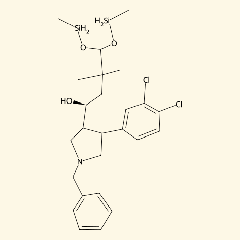 C[SiH2]OC(O[SiH2]C)C(C)(C)C[C@H](O)C1CN(Cc2ccccc2)CC1c1ccc(Cl)c(Cl)c1